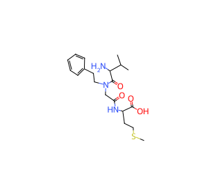 CSCCC(NC(=O)CN(CCc1ccccc1)C(=O)C(N)C(C)C)C(=O)O